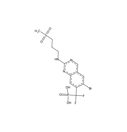 CS(=O)(=O)CCCNc1ncc2cc(Br)c(C(F)(F)P(=O)(O)O)cc2n1